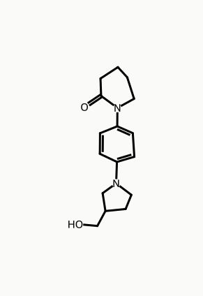 O=C1CCCCN1c1ccc(N2CCC(CO)C2)cc1